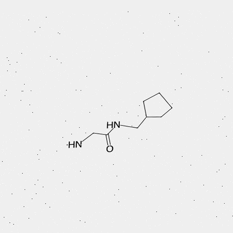 [NH]CC(=O)NCC1CCCC1